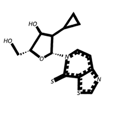 OC[C@H]1O[C@@H](n2ccc3ncsc3c2=S)C(C2CC2)C1O